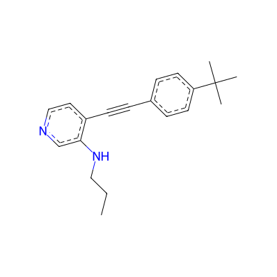 CCCNc1cnccc1C#Cc1ccc(C(C)(C)C)cc1